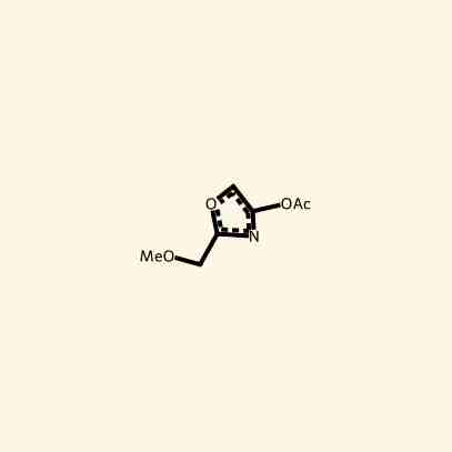 COCc1nc(OC(C)=O)co1